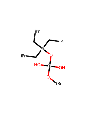 CC(C)C[Si](CC(C)C)(CC(C)C)[O][Ti]([OH])([OH])[O]C(C)(C)C